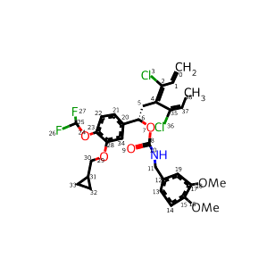 C=C/C(Cl)=C(C[C@H](OC(=O)NCc1ccc(OC)c(OC)c1)c1ccc(OC(F)F)c(OCC2CC2)c1)\C(Cl)=C/C